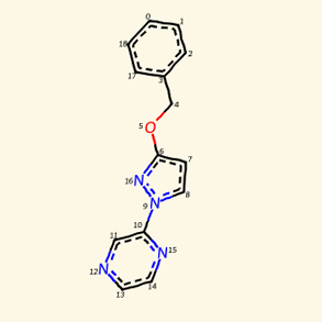 c1ccc(COc2ccn(-c3cnccn3)n2)cc1